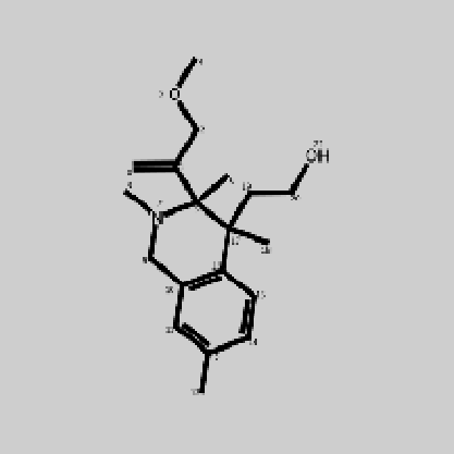 C=C(COC)C1(C)N(C)Cc2cc(C)ccc2C1(C)CCO